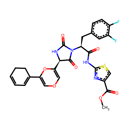 COC(=O)c1csc(NC(=O)[C@H](Cc2ccc(F)c(F)c2)N2C(=O)N[C@H](C3=COC=C(C4=CC=CCC4)O3)C2=O)n1